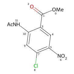 COC(=O)c1cc([N+](=O)[O-])c(Cl)cc1NC(C)=O